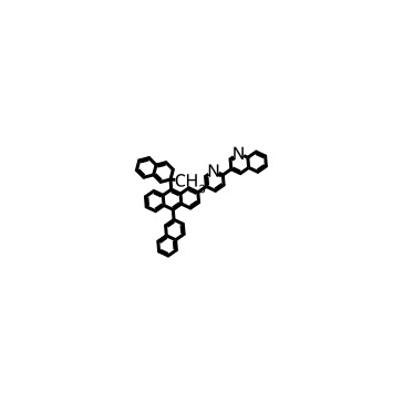 CC1(c2c3ccccc3c(-c3ccc4ccccc4c3)c3ccc(-c4ccc(C5=CC6C=CC=CC6N=C5)nc4)cc23)C=c2ccccc2=CC1